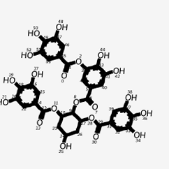 O=C(Oc1cc(C(=O)OC2C(OC(=O)c3cc(O)c(O)c(O)c3)CC(O)CC2OC(=O)c2cc(O)c(O)c(O)c2)cc(O)c1O)c1cc(O)c(O)c(O)c1